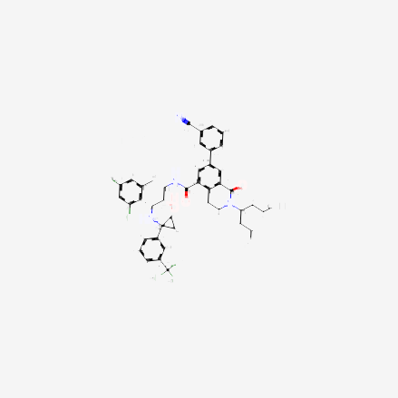 CCCC(CCC)N1CCc2c(C(=O)N[C@@H](Cc3cc(F)cc(F)c3)[C@H](O)CNC3(c4cccc(C(F)(F)F)c4)CC3)cc(-c3cccc(C#N)c3)cc2C1=O.Cl